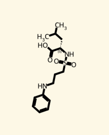 CC(C)C[C@H](NS(=O)(=O)CCCNc1ccccc1)C(=O)O